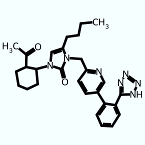 CCCCc1cn(C2CCCCC2C(C)=O)c(=O)n1Cc1ccc(-c2ccccc2-c2nnn[nH]2)cn1